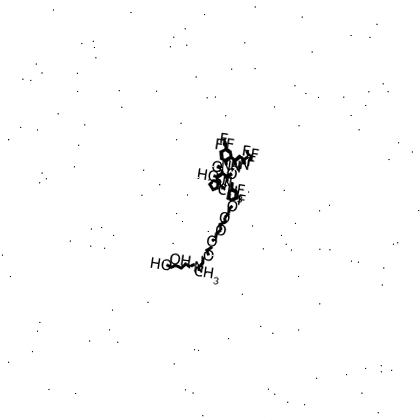 CN(CCCCC(O)CO)CCOCCOCCOCCOCCOc1ccc(CN2C(=O)C(C(=O)Nc3ccc(C(F)(F)F)cc3-c3cc(C(F)(F)F)ncn3)=C(O)C3(CCCC3)N2C)c(F)c1F